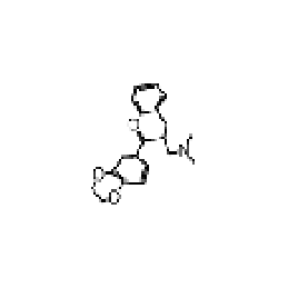 CN(C)CC(Cc1ccccc1)C(=O)c1ccc2c(c1)OCCO2